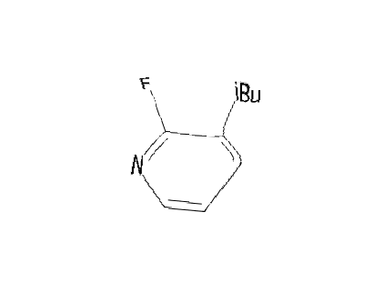 CCC(C)c1cccnc1F